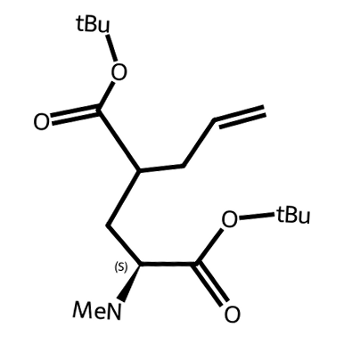 C=CCC(C[C@H](NC)C(=O)OC(C)(C)C)C(=O)OC(C)(C)C